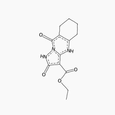 CCOC(=O)c1c(=O)[nH]n2c(=O)c3c([nH]c12)CCCC3